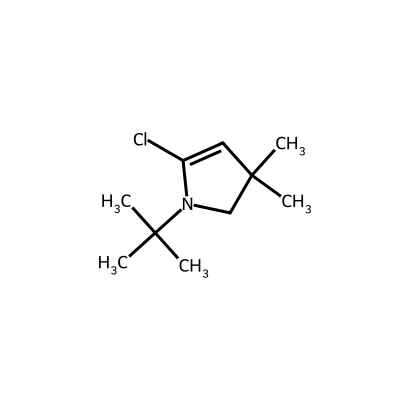 CC1(C)C=C(Cl)N(C(C)(C)C)C1